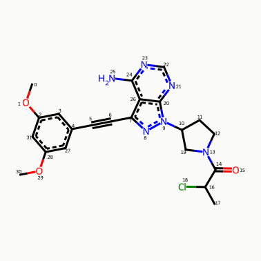 COc1cc(C#Cc2nn(C3CCN(C(=O)C(C)Cl)C3)c3ncnc(N)c23)cc(OC)c1